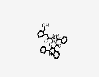 CC[C@H](NC(=O)c1c(OCC(N)C(=O)Cc2ccccc2CO)c(-c2ccccc2)nc2ccccc12)c1ccccc1